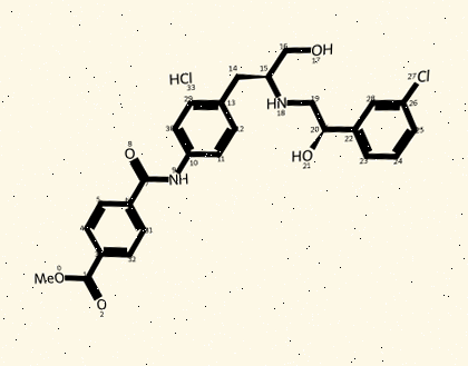 COC(=O)c1ccc(C(=O)Nc2ccc(C[C@@H](CO)NC[C@H](O)c3cccc(Cl)c3)cc2)cc1.Cl